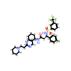 O=C(C[C@@H](NS(=O)(=O)c1cccc(C(F)(F)F)c1)c1ccc(F)cc1)NC1CCCc2nc(CCN3CCCCC3)ncc21